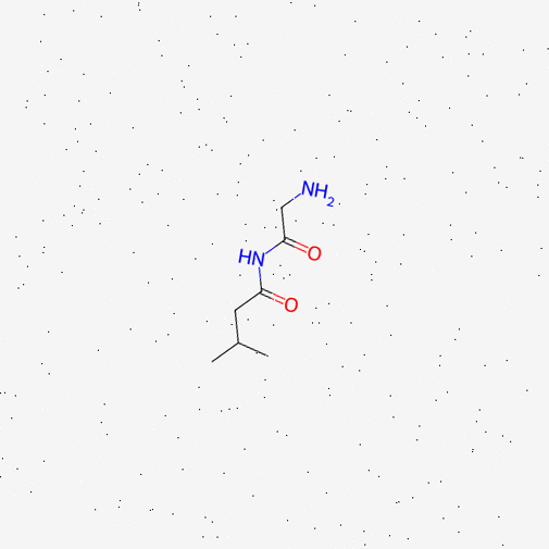 CC(C)CC(=O)NC(=O)CN